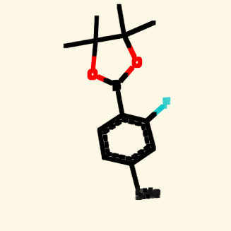 CSc1ccc(B2OC(C)(C)C(C)(C)O2)c(F)c1